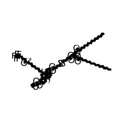 CCCCCCCCCCCCCCCC(=O)OCC(COC(=O)CCCCCCCCCCCCCCC)OC(=O)CCCSSCCCC(=O)O[C@H]1CC[C@H]2[C@@H]3[C@H](CCCCCCCCC[S+]([O-])CCCC(F)(F)C(F)(F)F)Cc4cc(OC(=O)OC(C)(C)C)ccc4[C@H]3CC[C@]12C